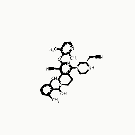 Cc1ccnc(C)c1Oc1nc(N2CCN[C@H](CC#N)C2)c2c(c1C#N)CN(C(O)c1c(C)cccc1C)CC2